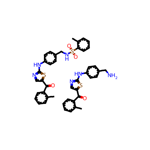 Cc1ccccc1C(=O)c1cnc(Nc2ccc(CN)cc2)s1.Cc1ccccc1C(=O)c1cnc(Nc2ccc(CNS(=O)(=O)c3ccccc3C)cc2)s1